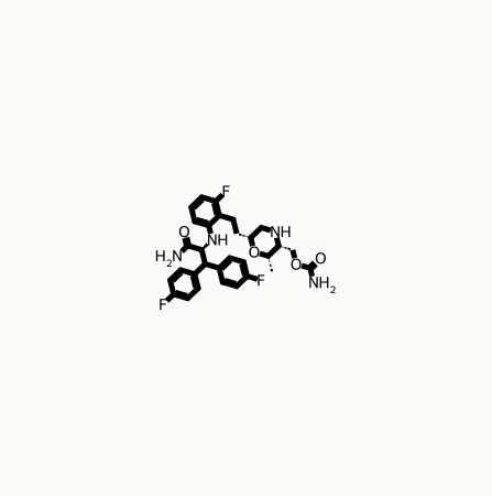 C[C@@H]1O[C@H](CCc2c(F)cccc2N[C@H](C(N)=O)C(c2ccc(F)cc2)c2ccc(F)cc2)CN[C@@H]1COC(N)=O